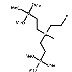 CO[Si](CC[Si](C)(CCF)CC[Si](OC)(OC)OC)(OC)OC